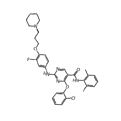 Cc1cccc(C)c1NC(=O)c1cnc(Nc2ccc(OCCCN3CCCCC3)c(F)c2)nc1Oc1ccccc1Cl